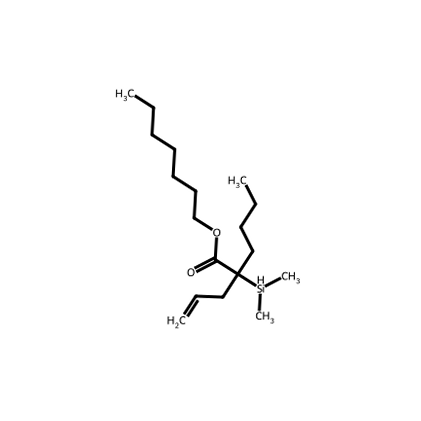 C=CCC(CCCC)(C(=O)OCCCCCCC)[SiH](C)C